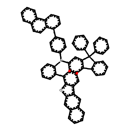 c1ccc(C2(c3ccccc3)c3ccccc3-c3ccc(N(c4ccc(-c5cccc6c5ccc5ccccc56)cc4)c4ccccc4-c4cccc5c4oc4cc6ccccc6cc45)cc32)cc1